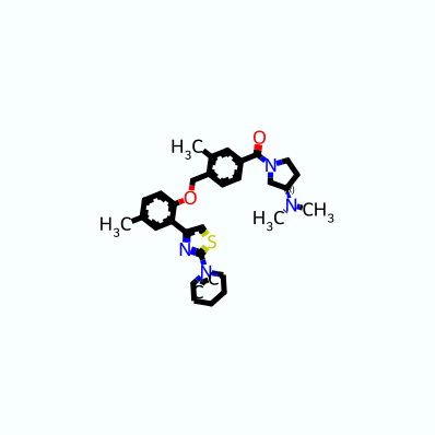 Cc1ccc(OCc2ccc(C(=O)N3CC[C@@H](N(C)C)C3)cc2C)c(-c2csc(N3CC4CCCC3CC4)n2)c1